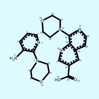 Nc1cccnc1N1CCOCC1.O=C(O)c1cnc2c(N3CCOCC3)nccc2c1